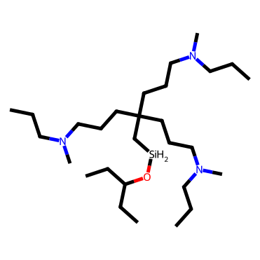 CCCN(C)CCCC(CCCN(C)CCC)(CCCN(C)CCC)C[SiH2]OC(CC)CC